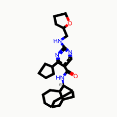 O=C(N[C@H]1C2CC3CCCC1C(C3)C2)c1cnc(NCC2CCCO2)nc1C1CCCC1